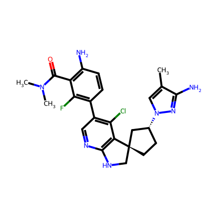 Cc1cn([C@@H]2CC[C@]3(CNc4ncc(-c5ccc(N)c(C(=O)N(C)C)c5F)c(Cl)c43)C2)nc1N